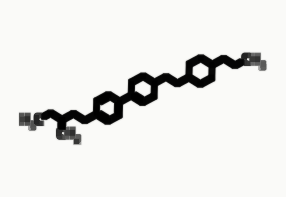 C=C(CC)CCc1ccc(C2=CCC(CCC3CCC(CCC)CC3)CC2)cc1